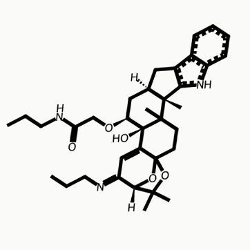 CCC/N=C1\C=C2C3(CCC4(C)[C@@]5(C)c6[nH]c7ccccc7c6C[C@@H]5C[C@H](OCC(=O)NCCC)[C@@]24O)O[C@@H]1C(C)(C)O3